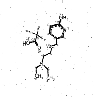 CCN(CC)CCNCc1ccc(N)nc1.O=C(O)C(F)(F)F